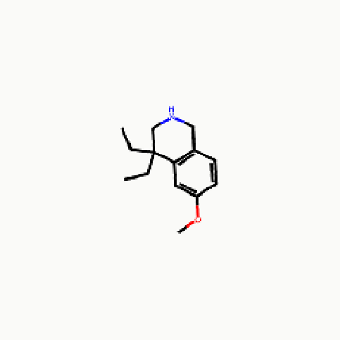 CCC1(CC)CNCc2ccc(OC)cc21